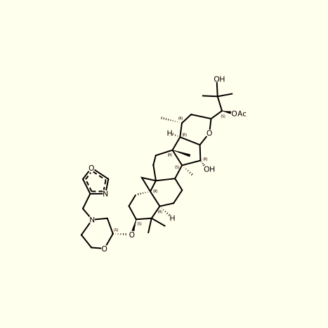 CC(=O)O[C@@H](C1C[C@@H](C)[C@H]2C(O1)[C@H](O)[C@@]1(C)C3CC[C@H]4C(C)(C)[C@@H](O[C@H]5CN(Cc6cocn6)CCO5)CC[C@@]45CC35CC[C@]21C)C(C)(C)O